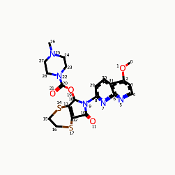 COc1ccnc2nc(N3C(=O)C4=C(SCCS4)C3OC(=O)N3CCN(C)CC3)ccc12